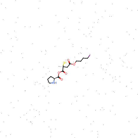 C[C@](S)(CC(=O)OCCCCI)C(=O)OC(=O)[C@@H]1CCCN1